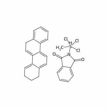 C1=c2c(ccc3c2=CCc2ccccc2-3)CCC1.C[SH](Cl)(Cl)(Cl)N1C(=O)c2ccccc2C1=O